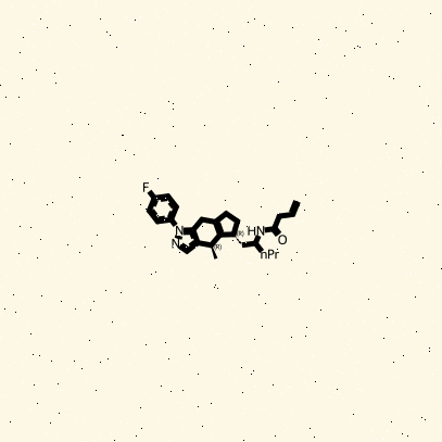 C=CCC(=O)NC(CCC)C[C@H]1CCC2=C1[C@@H](C)c1cnn(-c3ccc(F)cc3)c1C2